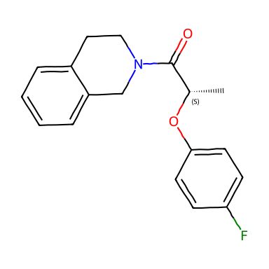 C[C@H](Oc1ccc(F)cc1)C(=O)N1CCc2ccccc2C1